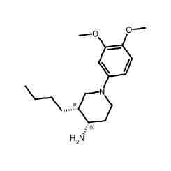 CCCC[C@@H]1CN(c2ccc(OC)c(OC)c2)CC[C@@H]1N